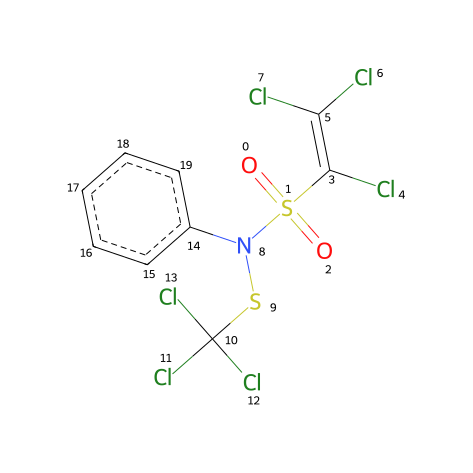 O=S(=O)(C(Cl)=C(Cl)Cl)N(SC(Cl)(Cl)Cl)c1ccccc1